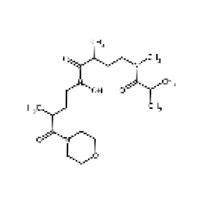 CC(C)C(=O)N(C)CCC(C)C(=O)N(O)CCC(C)C(=O)N1CCOCC1